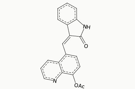 CC(=O)Oc1ccc(C=C2C(=O)Nc3ccccc32)c2cccnc12